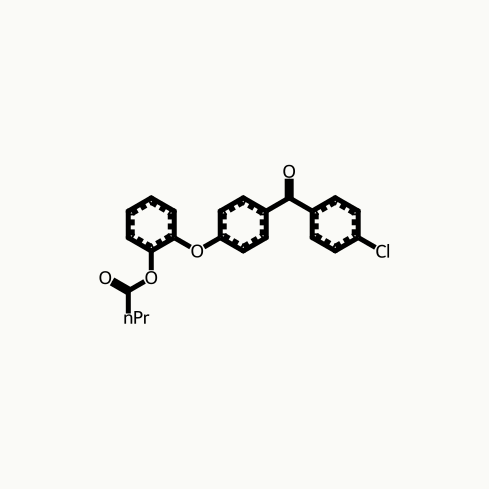 CCCC(=O)Oc1ccccc1Oc1ccc(C(=O)c2ccc(Cl)cc2)cc1